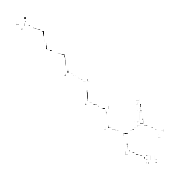 CCCCCCCC[CH]C(CC)C(=O)O